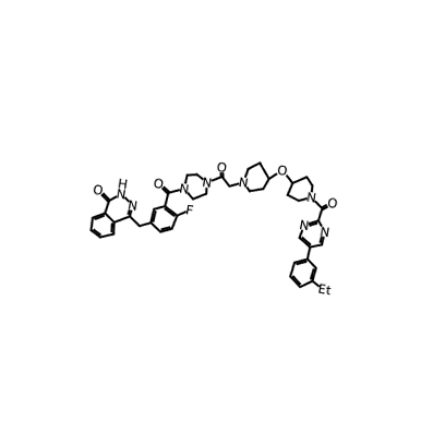 CCc1cccc(-c2cnc(C(=O)N3CCC(OC4CCN(CC(=O)N5CCN(C(=O)c6cc(Cc7n[nH]c(=O)c8ccccc78)ccc6F)CC5)CC4)CC3)nc2)c1